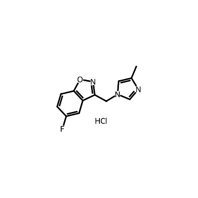 Cc1cn(Cc2noc3ccc(F)cc23)cn1.Cl